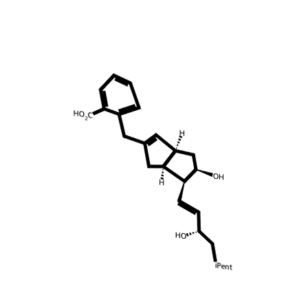 CCCC(C)C[C@H](O)/C=C/[C@H]1[C@H]2CC(Cc3ccccc3C(=O)O)=C[C@H]2C[C@H]1O